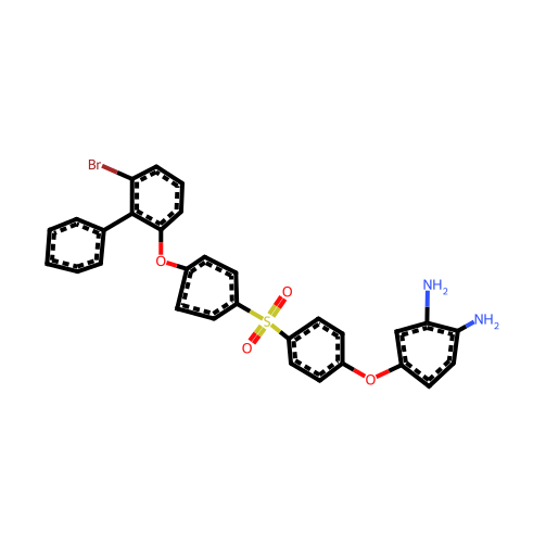 Nc1ccc(Oc2ccc(S(=O)(=O)c3ccc(Oc4cccc(Br)c4-c4ccccc4)cc3)cc2)cc1N